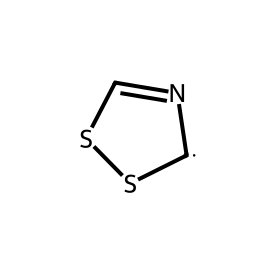 [CH]1N=CSS1